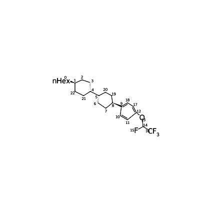 CCCCCC[C@H]1CC[C@H]([C@H]2CC[C@H](c3ccc(OC(F)C(F)(F)F)cc3)CC2)CC1